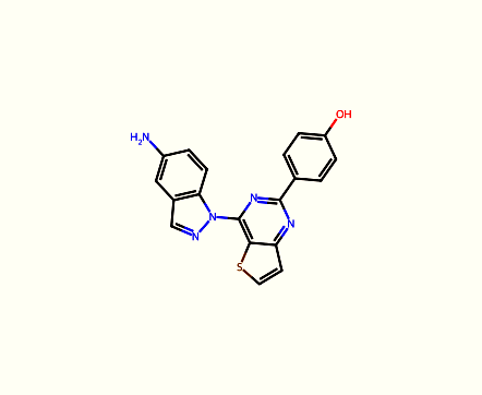 Nc1ccc2c(cnn2-c2nc(-c3ccc(O)cc3)nc3ccsc23)c1